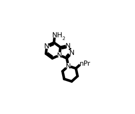 CCCC1CCCCN1c1nnc2c(N)nccn12